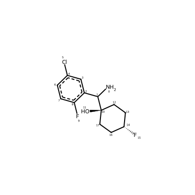 NC(c1cc(Cl)ccc1F)[C@]1(O)CC[C@H](F)CC1